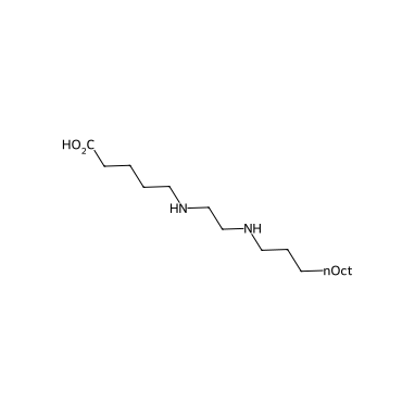 CCCCCCCCCCCNCCNCCCCC(=O)O